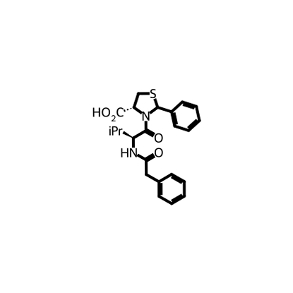 CC(C)[C@H](NC(=O)Cc1ccccc1)C(=O)N1C(c2ccccc2)SC[C@H]1C(=O)O